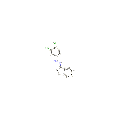 Clc1ccc(N/N=C2\CCc3ccccc32)cc1Cl